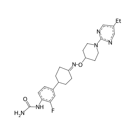 CCc1cnc(N2CCC(ON=C3CCC(c4ccc(NC(N)=O)c(F)c4)CC3)CC2)nc1